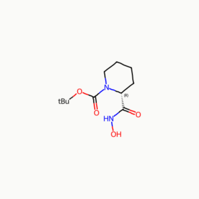 CC(C)(C)OC(=O)N1CCCC[C@@H]1C(=O)NO